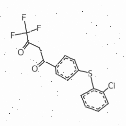 O=C(CC(=O)C(F)(F)F)c1ccc(Sc2ccccc2Cl)cc1